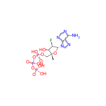 C[C@]1(COP(=O)(O)OP(=O)(O)OP(=O)(O)O)O[C@@H](n2cnc3c(N)ncnc32)[C@H](F)[C@@H]1O